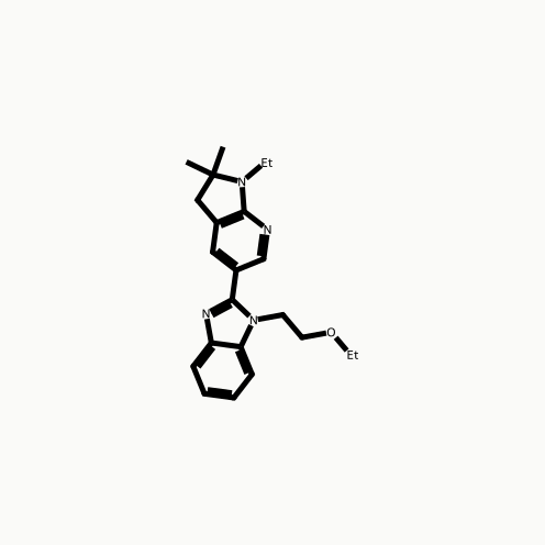 CCOCCn1c(-c2cnc3c(c2)CC(C)(C)N3CC)nc2ccccc21